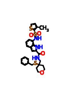 Cc1ccsc1S(=O)(=O)Nc1cccc2cc(C(=O)NCC3(SCc4ccccc4)CCOCC3)[nH]c12